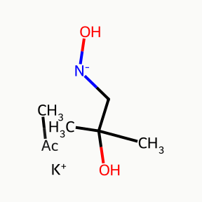 CC(C)(O)C[N-]O.CC(C)=O.[K+]